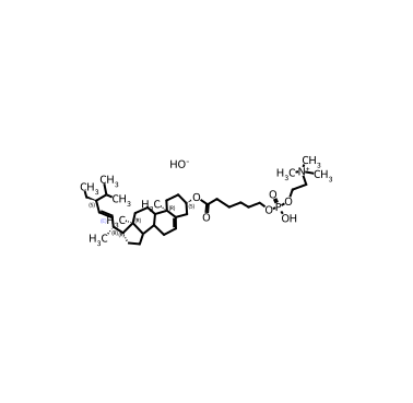 CC[C@H](/C=C/[C@@H](C)[C@H]1CCC2C3CC=C4C[C@@H](OC(=O)CCCCCOP(=O)(O)OCC[N+](C)(C)C)CC[C@]4(C)C3CC[C@@]21C)C(C)C.[OH-]